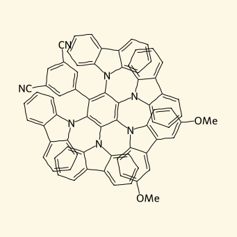 COc1ccc2c(c1)c1cc(OC)ccc1n2-c1c(-n2c3ccccc3c3ccccc32)c(-n2c3ccccc3c3ccccc32)c(-c2cc(C#N)cc(C#N)c2)c(-n2c3ccccc3c3ccccc32)c1-n1c2ccccc2c2ccccc21